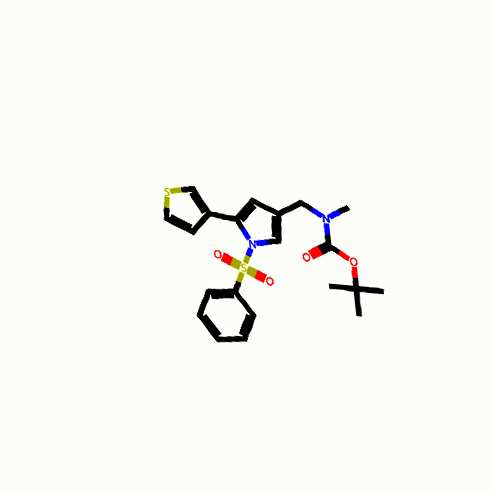 CN(Cc1cc(-c2ccsc2)n(S(=O)(=O)c2ccccc2)c1)C(=O)OC(C)(C)C